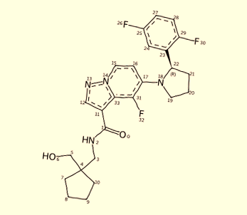 O=C(NCC1(CO)CCCC1)c1cnn2ccc(N3CCC[C@@H]3c3cc(F)ccc3F)c(F)c12